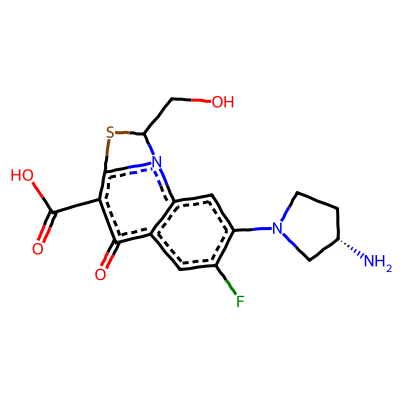 N[C@H]1CCN(c2cc3c(cc2F)c(=O)c(C(=O)O)c2n3C(CO)S2)C1